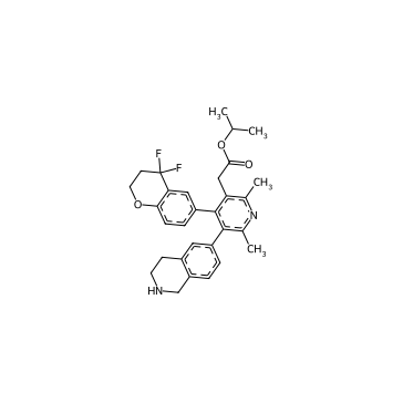 Cc1nc(C)c(-c2ccc3c(c2)CCNC3)c(-c2ccc3c(c2)C(F)(F)CCO3)c1CC(=O)OC(C)C